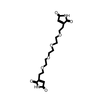 O=C1C=C(CCOCCOCCOCCOCCC2=CC(=O)NC2=O)C(=O)N1